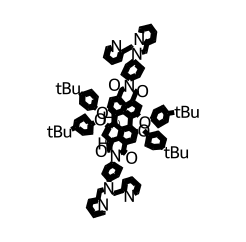 CC(C)(C)c1ccc(OC2=C[C@@H]3C(=O)N(c4ccc(N(Cc5ccccn5)Cc5ccccn5)cc4)C(=O)c4cc(Oc5ccc(C(C)(C)C)cc5)c5c(c43)[C@@H]2c2c(Oc3ccc(C(C)(C)C)cc3)cc3c4c(cc(Oc6ccc(C(C)(C)C)cc6)c-5c24)C(=O)N(c2ccc(N(Cc4ccccn4)Cc4ccccn4)cc2)C3=O)cc1